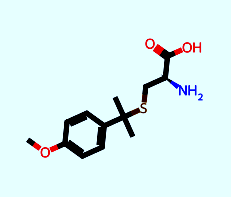 COc1ccc(C(C)(C)SC[C@H](N)C(=O)O)cc1